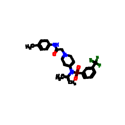 Cc1ccc(NC(=O)CN2CCC(N(C(C)C)S(=O)(=O)c3cccc(C(F)(F)F)c3)CC2)cc1